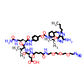 CCCCc1nc2c(N)nnc(OC(C)C)c2n1CC1CCC(NC(=O)OCc2ccc(NC(=O)[C@H](CCCNC(N)=O)NC(=O)[C@@H](NC(=O)[C@H](CCC(=O)O)NC(=O)CCCC(=O)NCCOCCOCCOCCN=[N+]=[N-])C(C)C)cc2)CC1